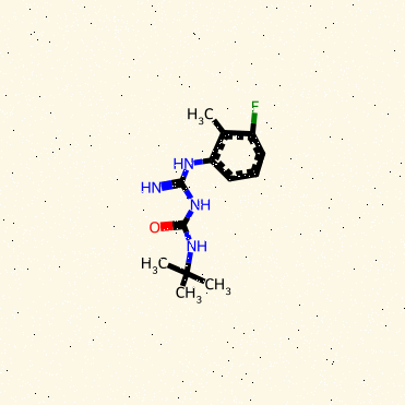 Cc1c(F)cccc1NC(=N)NC(=O)NC(C)(C)C